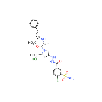 C[C@H](N[C@@H](CCc1ccccc1)C(=O)O)C(=O)N1CC(NNC(=O)c2ccc(Cl)c(S(N)(=O)=O)c2)CC1C(=O)O.Cl